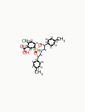 Cc1ccc(CCN(CCc2ccc(C)cc2)S(=O)(=O)c2ccc(Cl)c(C(=O)O)c2)cc1